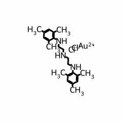 Cc1cc(C)c(NCCNCCNc2c(C)cc(C)cc2C)c(C)c1.[Au+2].[Cl-].[Cl-]